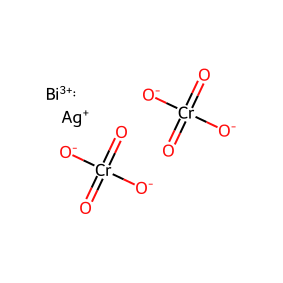 [Ag+].[Bi+3].[O]=[Cr](=[O])([O-])[O-].[O]=[Cr](=[O])([O-])[O-]